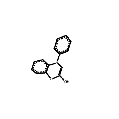 OC1=CN(c2ccccc2)c2ccccc2O1